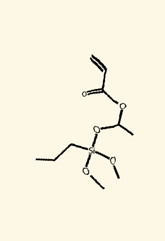 C=CC(=O)OC(C)O[Si](CCC)(OC)OC